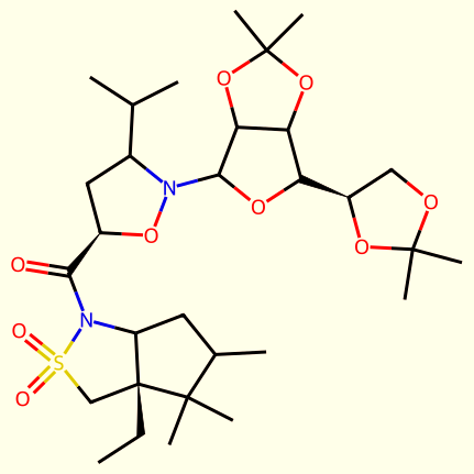 CC[C@@]12CS(=O)(=O)N(C(=O)[C@H]3CC(C(C)C)N(C4OC([C@H]5COC(C)(C)O5)C5OC(C)(C)OC54)O3)C1CC(C)C2(C)C